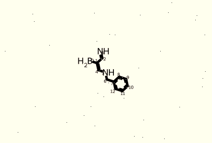 B/C(C=N)=C/NCc1ccccc1